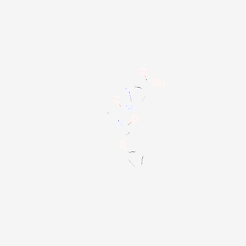 O=C(O)c1ccc(NC(=O)[C@H](CC2CCCCC2)N2CC(Oc3c(F)ccc(Cl)c3F)=CC2=O)nc1